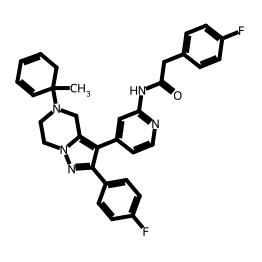 CC1(N2CCn3nc(-c4ccc(F)cc4)c(-c4ccnc(NC(=O)Cc5ccc(F)cc5)c4)c3C2)C=CC=CC1